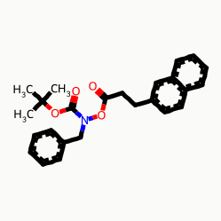 CC(C)(C)OC(=O)N(Cc1ccccc1)OC(=O)CCc1ccc2ccccc2c1